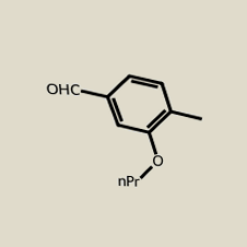 CCCOc1cc(C=O)ccc1C